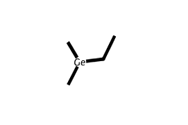 C[CH2][Ge]([CH3])[CH3]